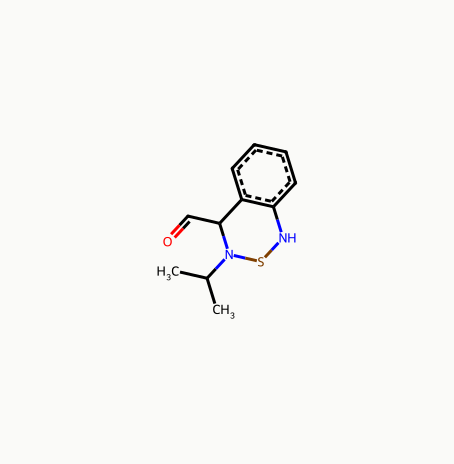 CC(C)N1SNc2ccccc2C1C=O